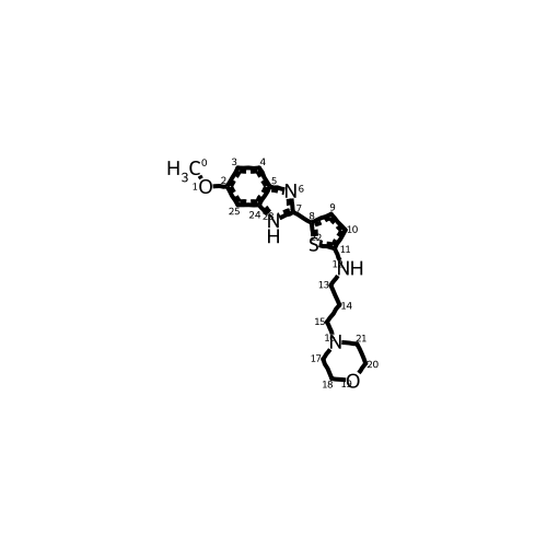 COc1ccc2nc(-c3ccc(NCCCN4CCOCC4)s3)[nH]c2c1